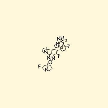 CC1(C)CCCN1c1nc(OC[C@@]23CCCN2C[C@H](F)C3)nc2c(F)c(-c3ccc(F)c4sc(N)nc34)c(C(F)(F)F)cc12